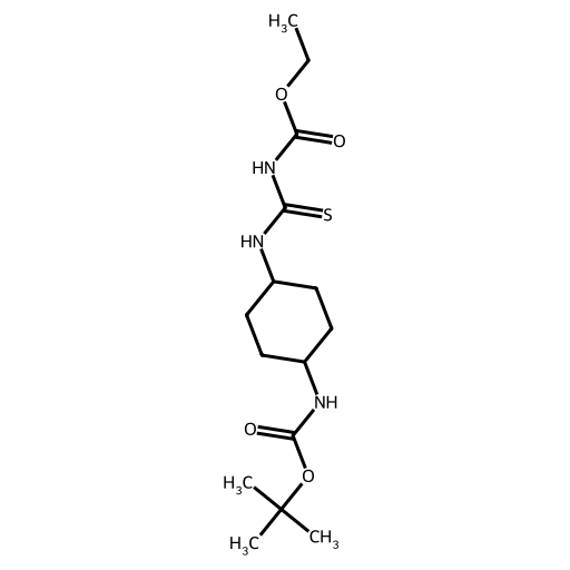 CCOC(=O)NC(=S)NC1CCC(NC(=O)OC(C)(C)C)CC1